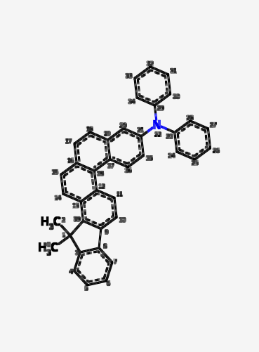 CC1(C)c2ccccc2-c2ccc3c(ccc4ccc5cc(N(c6ccccc6)c6ccccc6)ccc5c43)c21